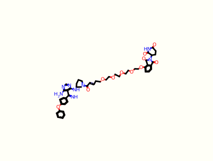 N=C(c1ccc(Oc2ccccc2)cc1)c1c(N)ncnc1NC1CCCN(C(=O)/C=C/CCOCCOCCOCCOCCOc2cccc3c2C(=O)N(C2CCC(=O)NC2=O)C3=O)C1